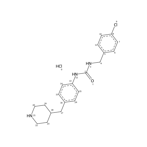 Cl.O=C(NCc1ccc(Cl)cc1)Nc1ccc(CC2CCNCC2)cc1